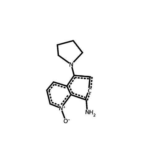 Nc1ccc(N2CCCC2)c2ccc[n+]([O-])c12